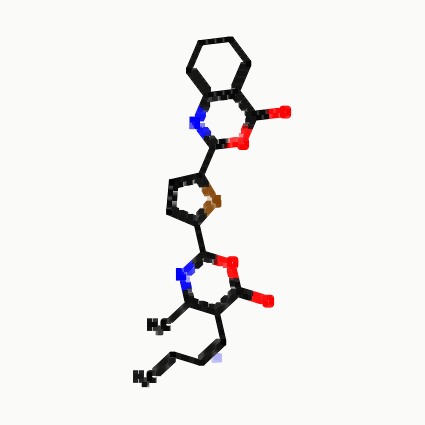 C=C/C=C\c1c(C)nc(-c2ccc(-c3nc4c(c(=O)o3)=CCCC=4)s2)oc1=O